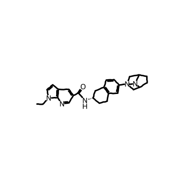 CCn1ccc2cc(C(=O)N[C@H]3CCc4cc(N5CC6CCC(C5)N6C)ccc4C3)cnc21